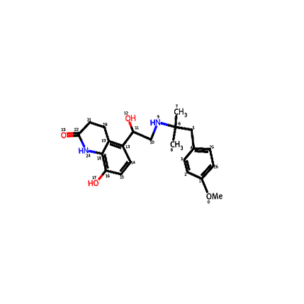 COc1ccc(CC(C)(C)NCC(O)c2ccc(O)c3c2CCC(=O)N3)cc1